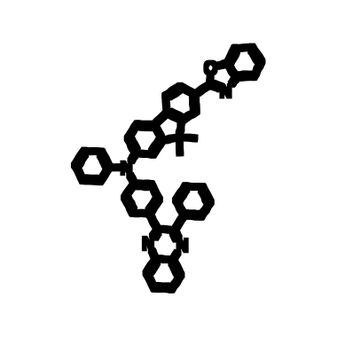 CC1(C)c2cc(-c3nc4ccccc4o3)ccc2-c2ccc(N(c3ccccc3)c3ccc(-c4nc5ccccc5nc4-c4ccccc4)cc3)cc21